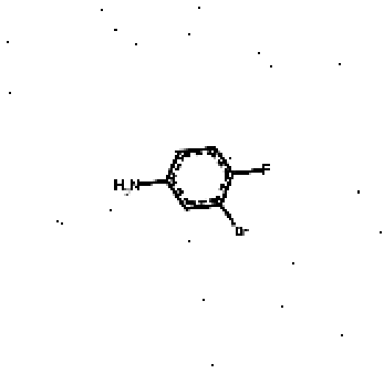 Nc1[c]cc(F)c(Br)c1